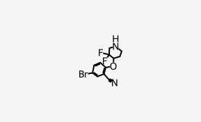 N#Cc1cc(Br)ccc1OC1CCNCC1(F)F